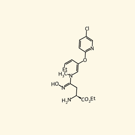 CC/C=C\C(=C/N(C)/C(C[C@H](N)C(=O)OCC)=N\O)Oc1ccc(Cl)cn1